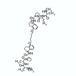 CNC(C)C(=O)NC(C)C(=O)N1CCC[C@H]1C(=O)N[C@@H]1CCCc2c(OCCCCCOc3cccc4c3CCC[C@H]4NC(=O)[C@@H]3CCCN3C(=O)C(C)NC(=O)C(C)NC)cccc21